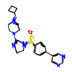 [O-][S+](c1ccc(-c2cncnc2)cc1)N1CCN=C1N1CCN(C2CCC2)CC1